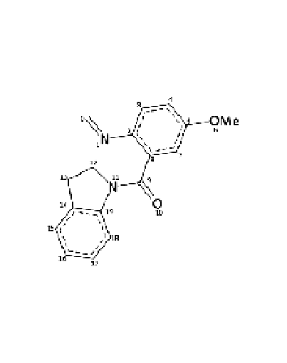 C=Nc1ccc(OC)cc1C(=O)N1CCc2ccccc21